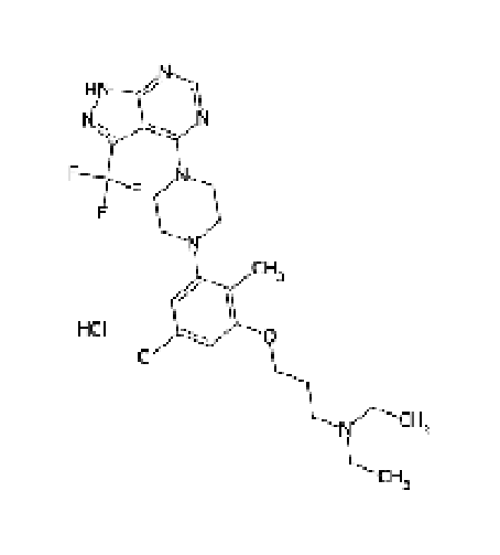 CCN(CC)CCCOc1cc(Cl)cc(N2CCN(c3ncnc4[nH]nc(C(F)(F)F)c34)CC2)c1C.Cl